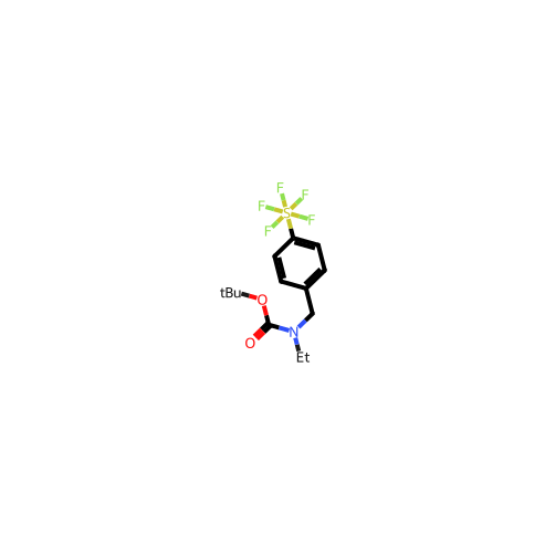 CCN(Cc1ccc(S(F)(F)(F)(F)F)cc1)C(=O)OC(C)(C)C